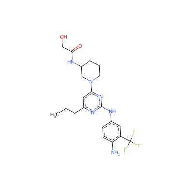 CCCc1cc(N2CCCC(NC(=O)CO)C2)nc(Nc2ccc(N)c(C(F)(F)F)c2)n1